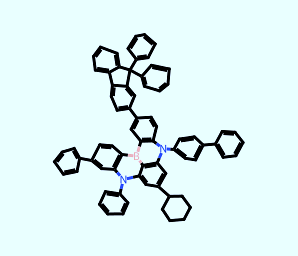 c1ccc(-c2ccc(N3c4ccc(-c5ccc6c(c5)C(c5ccccc5)(c5ccccc5)c5ccccc5-6)cc4B4c5ccc(-c6ccccc6)cc5N(c5ccccc5)c5cc(C6CCCCC6)cc3c54)cc2)cc1